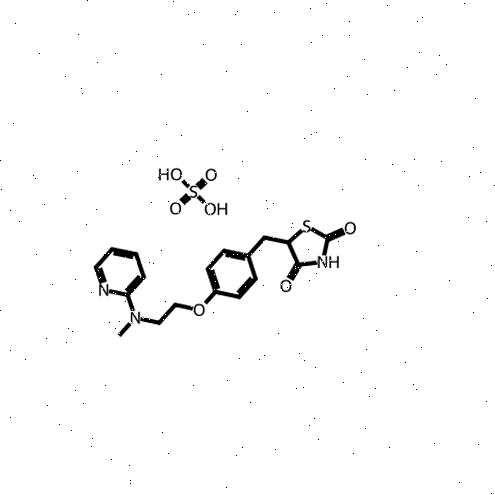 CN(CCOc1ccc(CC2SC(=O)NC2=O)cc1)c1ccccn1.O=S(=O)(O)O